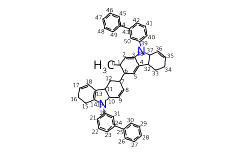 CC1C=C2C(=CC1C1C=CC3C(C1)C1=C(CCC=C1)N3c1cccc(-c3ccccc3)c1)C1CCC=CC1N2c1cccc(-c2ccccc2)c1